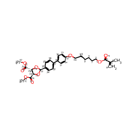 C=C(C)C(=O)OCCCCCCOc1ccc(-c2ccc(C3O[C@@H](C(=O)OC(C)C)[C@H](C(=O)OC(C)C)O3)cc2)cc1